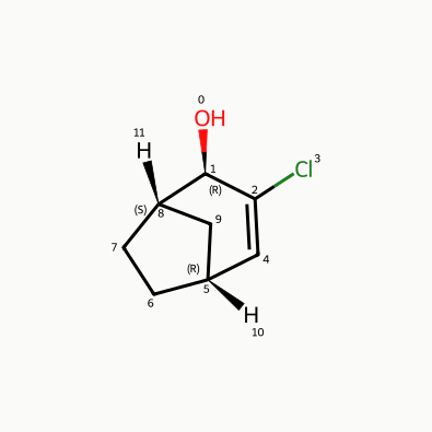 O[C@H]1C(Cl)=C[C@@H]2CC[C@H]1C2